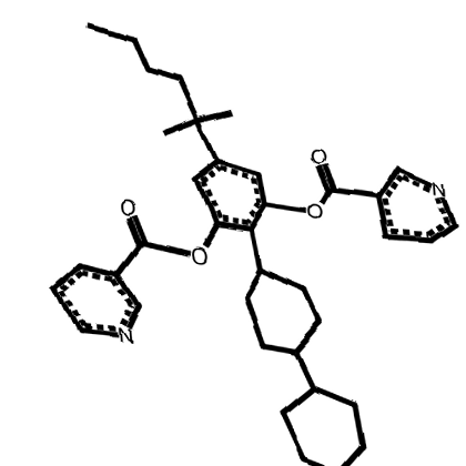 CCCCC(C)(C)c1cc(OC(=O)c2cccnc2)c(C2CCC(C3CCCCC3)CC2)c(OC(=O)c2cccnc2)c1